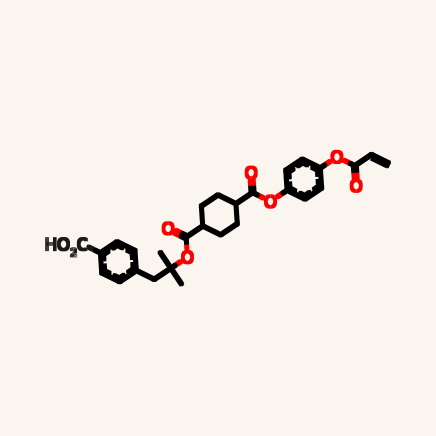 C=CC(=O)Oc1ccc(OC(=O)C2CCC(C(=O)OC(C)(C)Cc3ccc(C(=O)O)cc3)CC2)cc1